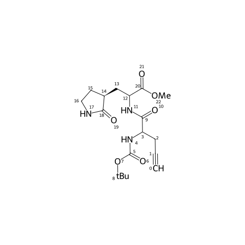 C#CCC(NC(=O)OC(C)(C)C)C(=O)NC(C[C@@H]1CCNC1=O)C(=O)OC